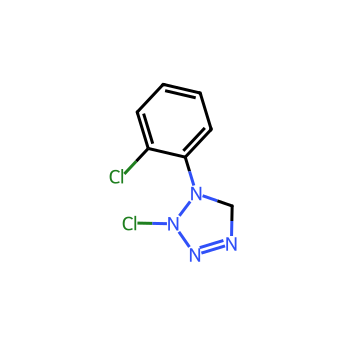 Clc1ccccc1N1CN=NN1Cl